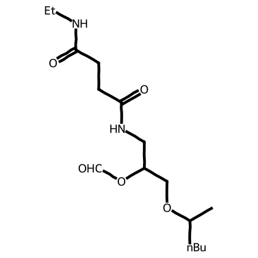 CCCCC(C)OCC(CNC(=O)CCC(=O)NCC)OC=O